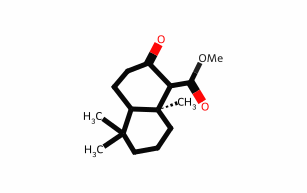 COC(=O)C1C(=O)CCC2C(C)(C)CCC[C@]12C